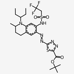 CCC(CC)N1c2cc(NS(=O)(=O)CC(F)(F)F)c(N=Nc3nnc(C(=O)OC(C)(C)C)s3)cc2CCC1C